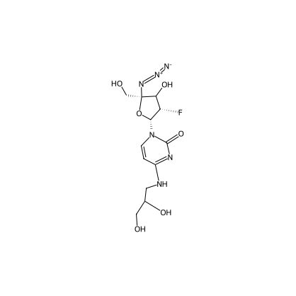 [N-]=[N+]=N[C@]1(CO)O[C@@H](n2ccc(NCC(O)CO)nc2=O)[C@@H](F)C1O